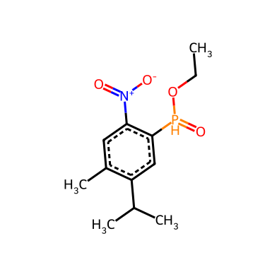 CCO[PH](=O)c1cc(C(C)C)c(C)cc1[N+](=O)[O-]